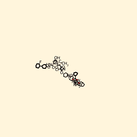 CC(C)[C@@H](C(=O)N1C[C@H](O)C[C@H]1C(=O)NOc1ccc(-c2ccccc2F)cc1)c1onc(O[C@H]2CC[C@@H](N3CCC(c4cnc(N5C6CCC5CN(c5cc(-c7ccccc7O)nnc5N)C6)nc4)CC3)CC2)c1Cl